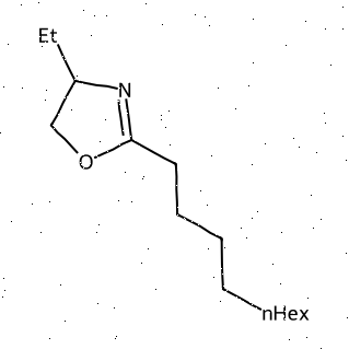 CCCCCCCCCCC1=NC(CC)CO1